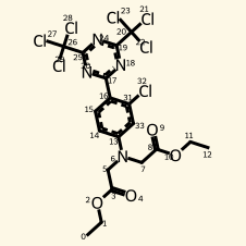 CCOC(=O)CN(CC(=O)OCC)c1ccc(-c2nc(C(Cl)(Cl)Cl)nc(C(Cl)(Cl)Cl)n2)c(Cl)c1